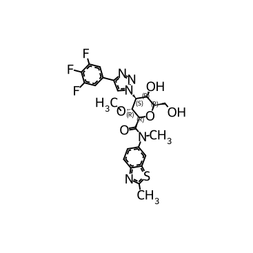 CO[C@@H]1[C@@H](n2cc(-c3cc(F)c(F)c(F)c3)nn2)[C@@H](O)[C@@H](CO)O[C@H]1C(=O)N(C)c1ccc2nc(C)sc2c1